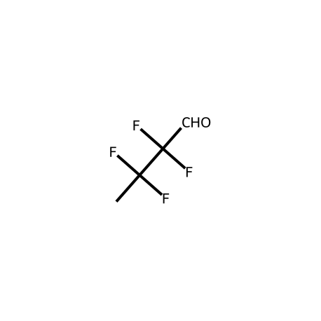 CC(F)(F)C(F)(F)C=O